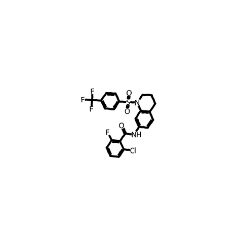 O=C(Nc1ccc2c(c1)N(S(=O)(=O)c1ccc(C(F)(F)F)cc1)CCC2)c1c(F)cccc1Cl